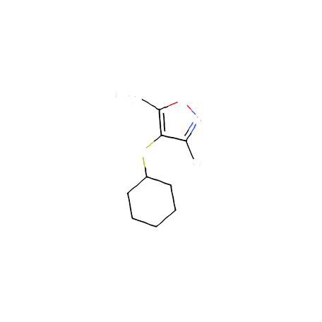 Cc1noc(C(=O)O)c1SC1CCCCC1